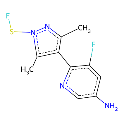 Cc1nn(SF)c(C)c1-c1ncc(N)cc1F